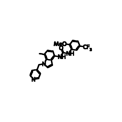 COc1ccc(C(F)(F)F)cc1NC(=O)Nc1ccc(C)c2c1ccn2Cc1ccncc1